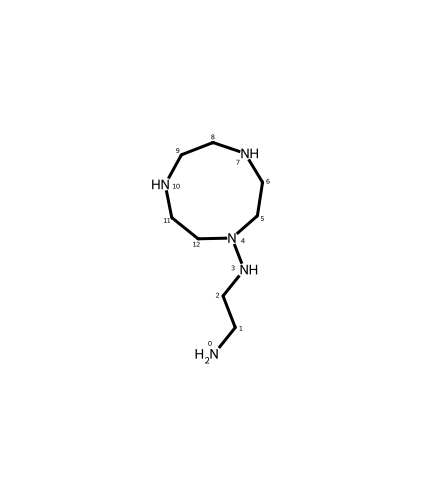 NCCNN1CCNCCNCC1